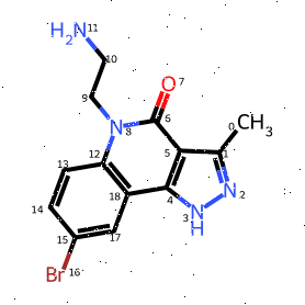 Cc1n[nH]c2c1c(=O)n(CCN)c1ccc(Br)cc21